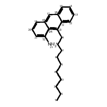 CCCCCCCCCCc1c2ccccc2cc2cccc(N)c12